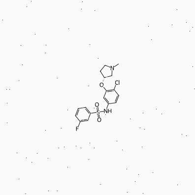 CN1CC[C@@H](Oc2cc(NS(=O)(=O)c3cccc(F)c3)ccc2Cl)C1